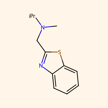 CC(C)N(C)Cc1nc2ccccc2s1